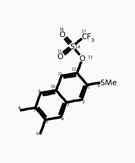 CSc1cc2cc(C)c(C)cc2cc1OS(=O)(=O)C(F)(F)F